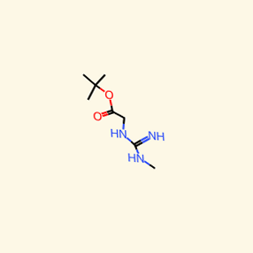 CNC(=N)NCC(=O)OC(C)(C)C